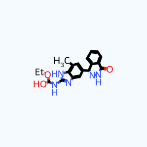 CCOC(O)Nc1nc2cc(-c3n[nH]c(=O)c4ccccc34)cc(C)c2[nH]1